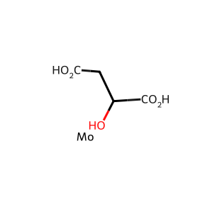 O=C(O)CC(O)C(=O)O.[Mo]